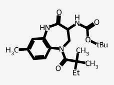 CCC(C)(C)C(=O)N1CC(NC(=O)OC(C)(C)C)C(=O)Nc2cc(C)ccc21